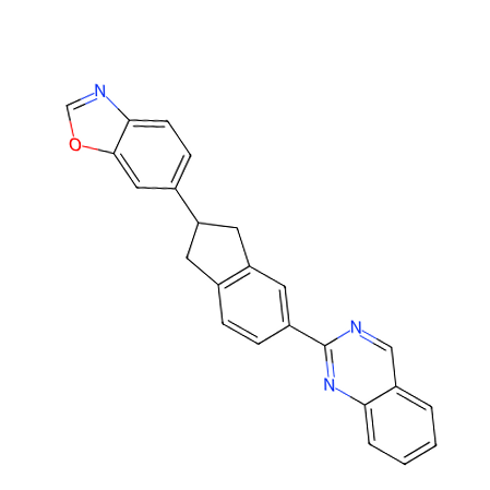 c1ccc2nc(-c3ccc4c(c3)CC(c3ccc5ncoc5c3)C4)ncc2c1